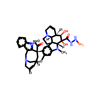 CCC1=C[C@@H]2CN(C1)Cc1c([nH]c3ccccc13)[C@@](C(=O)OC)(c1cc3c(cc1OC)N(C)[C@H]1[C@@](O)(C(=O)NNP)[C@H](O)[C@]4(CC)C=CCN5CC[C@]31[C@@H]54)C2